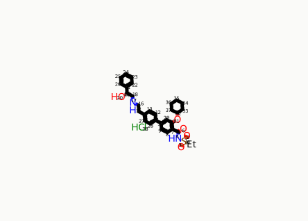 CCS(=O)(=O)NC(=O)c1ccc(-c2ccc(CCNC[C@@H](O)c3ccccc3)cc2)cc1OC1CCCCC1.Cl